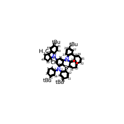 CC(C)(C)c1cccc(N2c3cc(C(C)(C)C)ccc3B3c4ccccc4N(c4ccc(C(C)(C)C)cc4-c4ccccc4)c4cc(N5c6ccc(C(C)(C)C)cc6C6(C)CCCC56C)cc2c43)c1